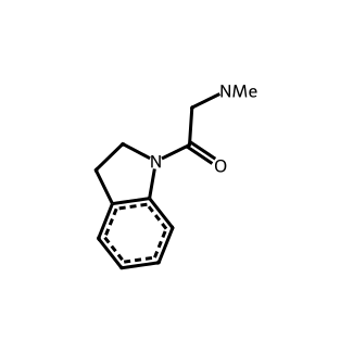 CNCC(=O)N1CCc2ccccc21